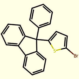 Brc1ccc(C2(c3ccccc3)c3ccccc3-c3ccccc32)s1